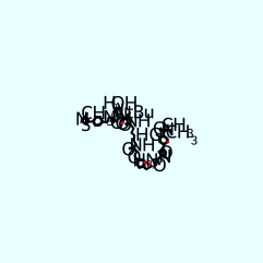 Cc1ncsc1-c1ccc(CNC(=O)[C@@H]2C[C@@H](O)CN2C(=O)C(NC(=O)CCCCNC(=O)COc2ccc3c(c2)[C@H](NC(=O)c2cc(-c4ccc(C(=O)N(C)C)c(O)c4)on2)CC3)C(C)(C)C)cc1